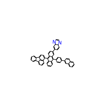 c1ccc2c(c1)-c1cccc3c(-c4c5ccccc5c(-c5ccc(-c6ccc7ccccc7c6)cc5)c5cc(-c6ccc7nccnc7c6)ccc45)ccc-2c13